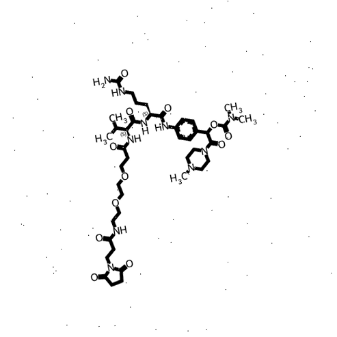 CC(C)[C@H](NC(=O)CCOCCOCCNC(=O)CCN1C(=O)CCC1=O)C(=O)N[C@@H](CCCNC(N)=O)C(=O)Nc1ccc(C(OC(=O)N(C)C)C(=O)N2CCN(C)CC2)cc1